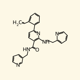 C=Cc1ccccc1-c1ccc(C(=O)NCc2cccnc2)c(NCCc2ccccn2)n1